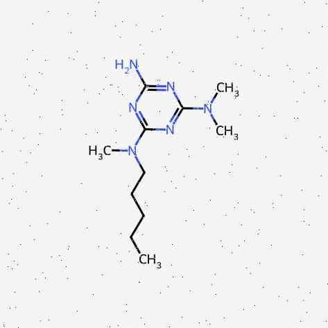 CCCCCN(C)c1nc(N)nc(N(C)C)n1